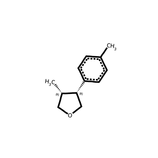 Cc1ccc([C@@H]2COC[C@@H]2C)cc1